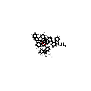 Cp1c2ccccc2c2c(-c3cccc4c(-c5cccc6c5C5(c7ccccc7-c7ccccc75)c5ccc7ccccc7c5-6)c5cccc(-c6cccc7c6c6ccccc6p7C)c5cc34)cccc21